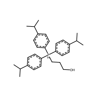 CC(C)c1ccc([PH](CCCO)(c2ccc(C(C)C)cc2)c2ccc(C(C)C)cc2)cc1